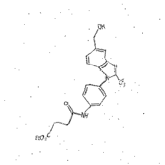 CCOC(=O)CCC(=O)Nc1ccc(-n2c(C(F)(F)F)nc3cc(CO)ccc32)cc1